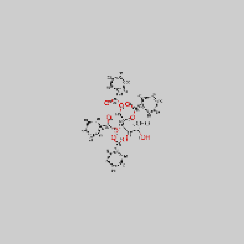 O=C[C@H](O)[C@@H](OC(=O)c1ccccc1)[C@H](OC(=O)c1ccccc1)[C@@H](COC(=O)c1ccccc1)OC(=O)c1ccccc1